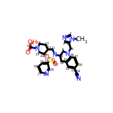 Cn1cncc1CN1CC(N(CC2CCN(C(=O)O)CC2)S(=O)(=O)c2cccnc2)Cc2cc(C#N)ccc21